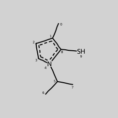 Cc1ccn(C(C)C)c1S